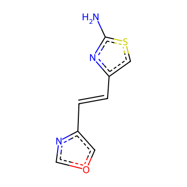 Nc1nc(C=Cc2cocn2)cs1